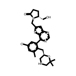 Cc1cc(Cl)cc(-c2ncnc3cc(CN4C(=O)CC[C@@H]4CO)sc23)c1C[C@@H]1CNCC(C)(C)O1